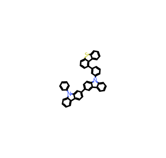 c1ccc(-n2c3ccccc3c3ccc(-c4ccc5c(c4)c4ccccc4n5-c4cccc(-c5cccc6sc7ccccc7c56)c4)cc32)cc1